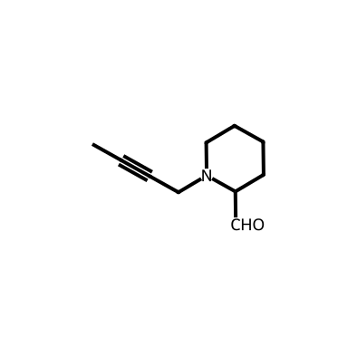 CC#CCN1CCCCC1C=O